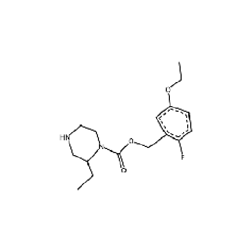 CCOc1ccc(F)c(COC(=O)N2CCNCC2CC)c1